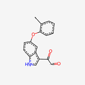 Cc1ccccc1Oc1ccc2[nH]cc(C(=O)[C]=O)c2c1